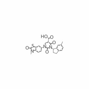 Cc1ccc2c(c1)C(n1c(=O)c(C(=O)O)cn(-c3ccc4c(c3)sc(=O)n4C)c1=O)CC2